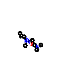 CC1(C)c2ccccc2-c2ccc(-c3nc(-c4ccccc4)nc(-c4cccc5c4oc4cc6c7ccccc7n(-c7ccccc7)c6cc45)n3)cc21